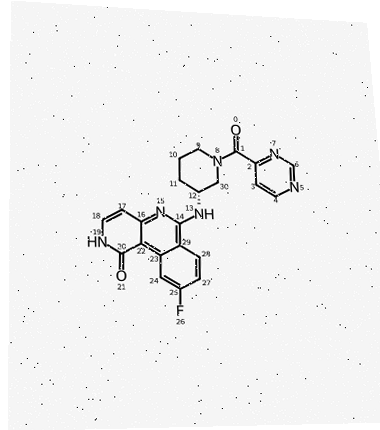 O=C(c1ccncn1)N1CCC[C@@H](Nc2nc3cc[nH]c(=O)c3c3cc(F)ccc23)C1